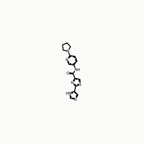 O=C(Nc1ccc(N2CCCC2)nc1)c1csc(-c2cnc[nH]2)n1